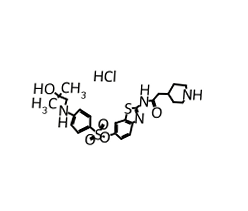 CC(C)(O)CNc1ccc(S(=O)(=O)Oc2ccc3nc(NC(=O)CC4CCNCC4)sc3c2)cc1.Cl